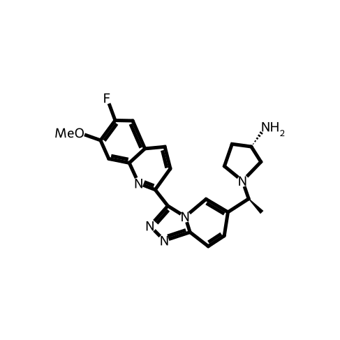 COc1cc2nc(-c3nnc4ccc([C@H](C)N5CC[C@H](N)C5)cn34)ccc2cc1F